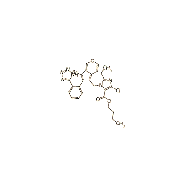 CCCCOC(=O)c1c(Cl)nc(CC)n1Cc1c2ccocc-2c(Br)c1-c1ccccc1-c1nnn[nH]1